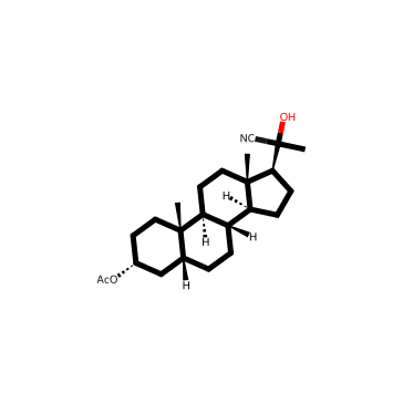 CC(=O)O[C@@H]1CC[C@@]2(C)[C@H](CC[C@@H]3[C@@H]2CC[C@]2(C)[C@@H](C(C)(O)C#N)CC[C@@H]32)C1